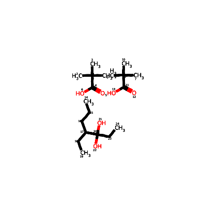 CC(C)(C)C(=O)O.CC(C)(C)C(=O)O.CCCC(CC)C(O)(O)CC